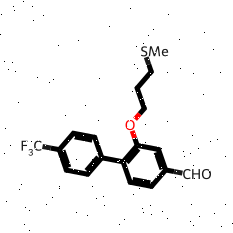 CSCCCOc1cc(C=O)ccc1-c1ccc(C(F)(F)F)cc1